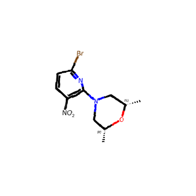 C[C@@H]1CN(c2nc(Br)ccc2[N+](=O)[O-])C[C@H](C)O1